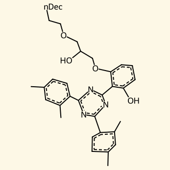 CCCCCCCCCCCCOCC(O)COc1cccc(O)c1-c1nc(-c2ccc(C)cc2C)nc(-c2ccc(C)cc2C)n1